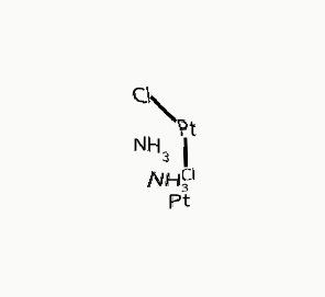 N.N.[Cl][Pt][Cl].[Pt]